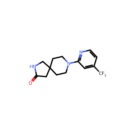 O=C1CC2(CCN(c3cc(C(F)(F)F)ccn3)CC2)CN1